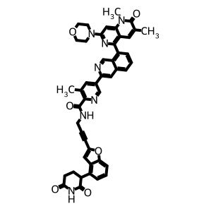 Cc1cc(-c2cc3cccc(-c4nc(N5CCOCC5)cc5c4cc(C)c(=O)n5C)c3cn2)cnc1C(=O)NCC#Cc1cc2c(C3CCC(=O)NC3=O)cccc2o1